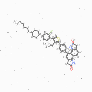 CCCCC[C@H]1CC[C@H](c2ccc(-c3csc(-c4ccc(-c5cc6c(c7ccc8c(c57)=NC(=O)C8)=NC(=O)C6)cc4)c3CC)c(F)c2)CC1